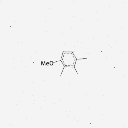 COc1c[c]c(C)c(C)c1C